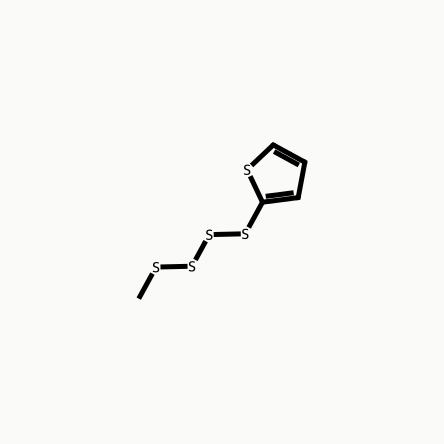 CSSSSc1cccs1